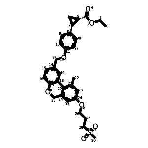 CCOC(=O)[C@H]1C[C@@H]1c1ccc(OCc2ccc3c(c2)-c2c(C)cc(OCCCS(C)(=O)=O)cc2CO3)cc1